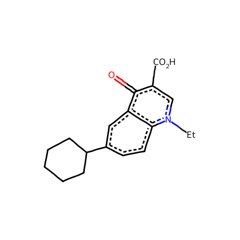 CCn1cc(C(=O)O)c(=O)c2cc(C3CCCCC3)ccc21